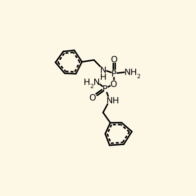 NP(=O)(NCc1ccccc1)OP(N)(=O)NCc1ccccc1